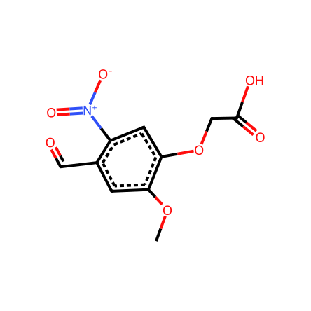 COc1cc(C=O)c([N+](=O)[O-])cc1OCC(=O)O